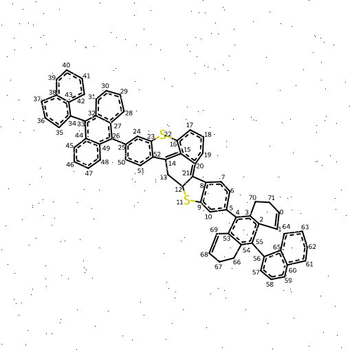 C1=Cc2c(c(-c3ccc4c(c3)SC3CC5=c6c(cccc6=C43)Sc3cc(-c4c6ccccc6c(-c6cccc7ccccc67)c6ccccc46)ccc35)c3c(c2-c2cccc4ccccc24)CCC=C3)CC1